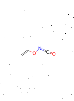 C=CON=C=O